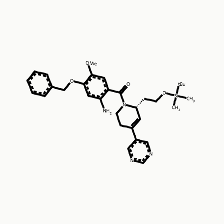 COc1cc(C(=O)N2CCC(c3cncnc3)=C[C@H]2CCO[Si](C)(C)C(C)(C)C)c(N)cc1OCc1ccccc1